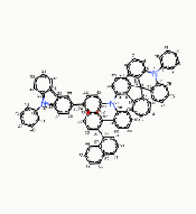 c1ccc(N2c3ccccc3C3(c4ccccc4-c4c(N(c5ccc(-c6ccc7c(c6)c6ccccc6n7-c6ccccc6)cc5)c5ccccc5-c5ccccc5-c5cccc6ccccc56)cccc43)c3ccccc32)cc1